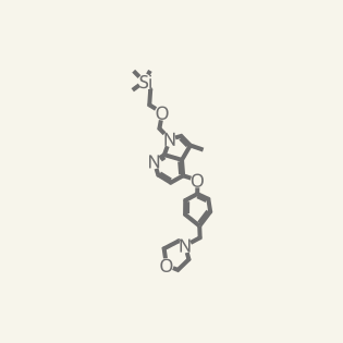 Cc1cn(COCC[Si](C)(C)C)c2nccc(Oc3ccc(CN4CCOCC4)cc3)c12